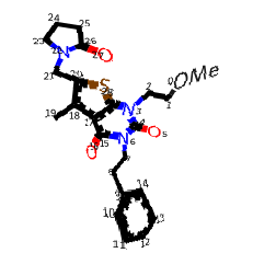 COCCn1c(=O)n(CCc2ccccc2)c(=O)c2c(C)c(CN3CCCC3=O)sc21